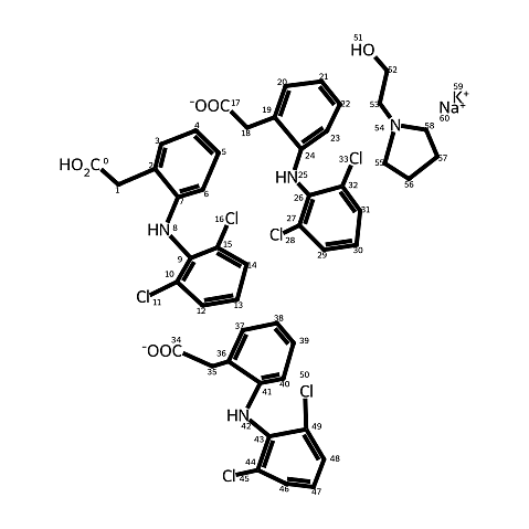 O=C(O)Cc1ccccc1Nc1c(Cl)cccc1Cl.O=C([O-])Cc1ccccc1Nc1c(Cl)cccc1Cl.O=C([O-])Cc1ccccc1Nc1c(Cl)cccc1Cl.OCCN1CCCC1.[K+].[Na+]